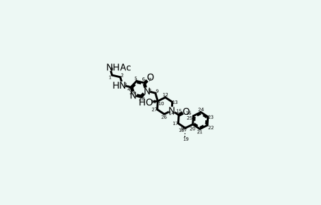 CC(=O)NCCNc1cc(=O)n(CC2(O)CCN(C(=O)C[C@@H](C)c3ccccc3)CC2)cn1